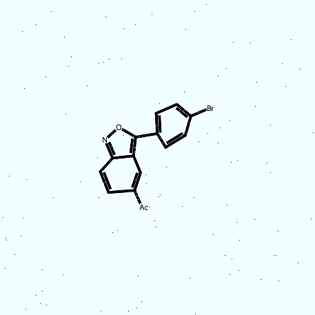 CC(=O)c1ccc2noc(-c3ccc(Br)cc3)c2c1